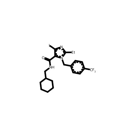 CCc1nc(I)c(C(=O)NCC2CCCCC2)n1Cc1ccc(C(F)(F)F)cc1